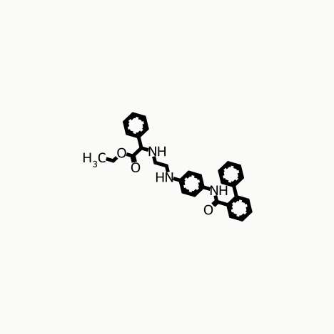 CCOC(=O)C(NCCNc1ccc(NC(=O)c2ccccc2-c2ccccc2)cc1)c1ccccc1